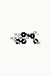 Cc1ccc(NC(=O)c2cc(N3CCNCC3)cc(C(F)(F)F)c2)cc1Nc1ncccc1-c1cc(N)ncn1